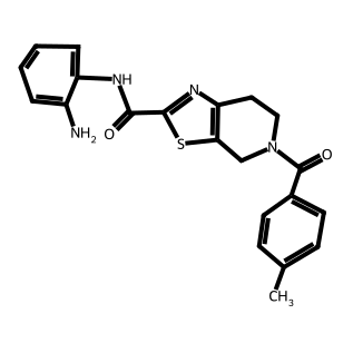 Cc1ccc(C(=O)N2CCc3nc(C(=O)Nc4ccccc4N)sc3C2)cc1